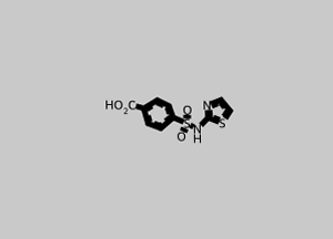 O=C(O)c1ccc(S(=O)(=O)Nc2nccs2)cc1